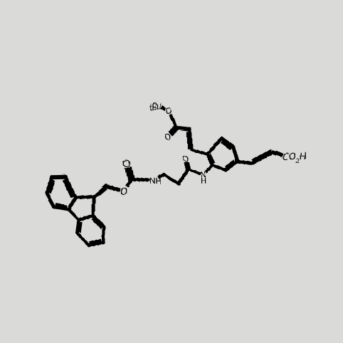 CC(C)(C)OC(=O)/C=C/c1ccc(/C=C/C(=O)O)cc1NC(=O)CCNC(=O)OCC1c2ccccc2-c2ccccc21